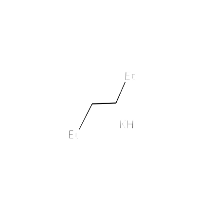 CCCCCC.[KH]